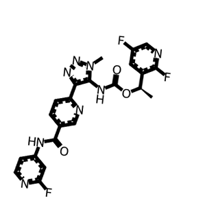 C[C@@H](OC(=O)Nc1c(-c2ccc(C(=O)Nc3ccnc(F)c3)cn2)nnn1C)c1cc(F)cnc1F